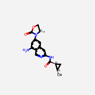 C[C@H]1COC(=O)N1c1cc(N)c2cnc(NC(=O)[C@H]3C[C@@H]3C#N)cc2c1